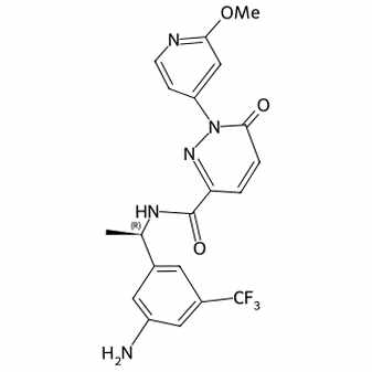 COc1cc(-n2nc(C(=O)N[C@H](C)c3cc(N)cc(C(F)(F)F)c3)ccc2=O)ccn1